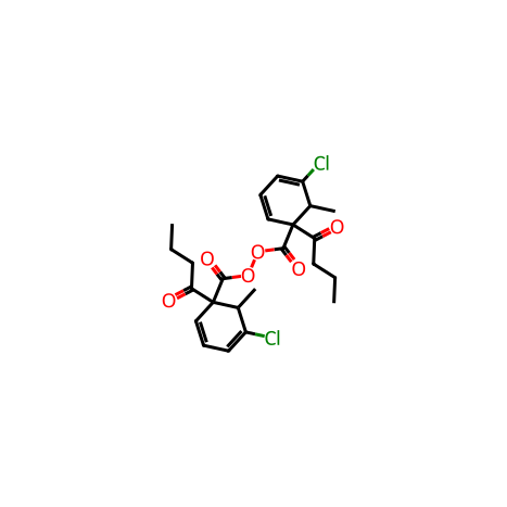 CCCC(=O)C1(C(=O)OOC(=O)C2(C(=O)CCC)C=CC=C(Cl)C2C)C=CC=C(Cl)C1C